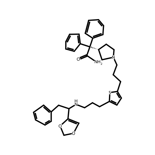 NC(=O)C(c1ccccc1)(c1ccccc1)[C@@H]1CCN(CCCc2ccc(CCCNC(Cc3ccccc3)C3=COCO3)s2)C1